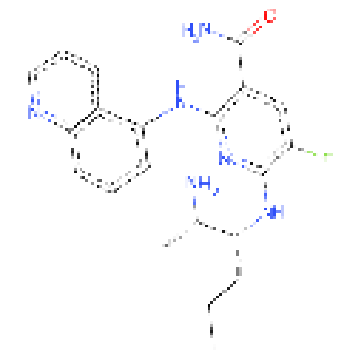 CCC[C@@H](Nc1nc(Nc2cccc3ncccc23)c(C(N)=O)cc1F)[C@H](C)N